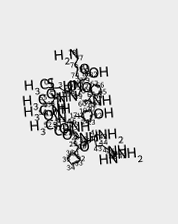 CSCC[C@H](NC(=O)[C@@H](NC(=O)[C@@H](NC(=O)[C@H](Cc1ccc(O)cc1)NC(=O)[C@H](CCc1ccccc1)NC(=O)[C@@H](CN)CCCNC(=N)N)C(C)C)C(C)C)C(=O)N[C@@H](Cc1c[nH]c2ccccc12)C(=O)N[C@@H](CCCCN)CC(=O)O